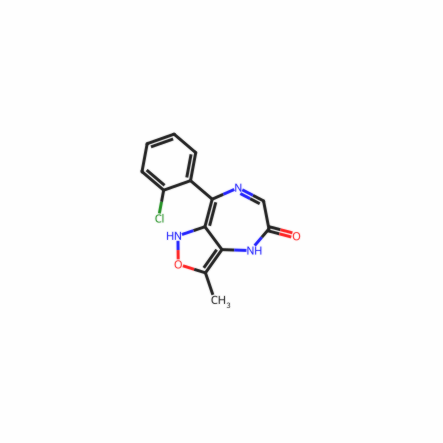 CC1=C2NC(=O)C=NC(c3ccccc3Cl)=C2NO1